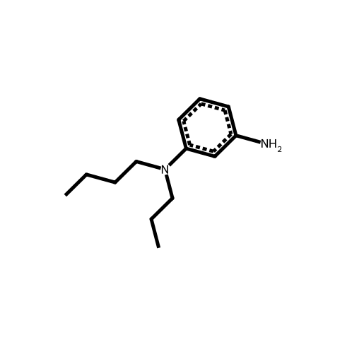 CCCCN(CCC)c1cccc(N)c1